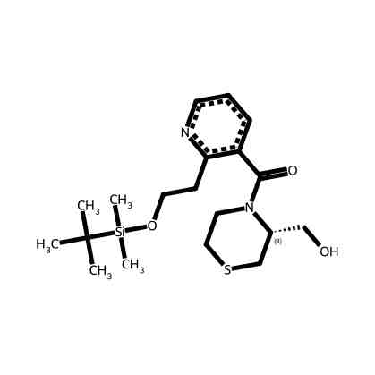 CC(C)(C)[Si](C)(C)OCCc1ncccc1C(=O)N1CCSC[C@H]1CO